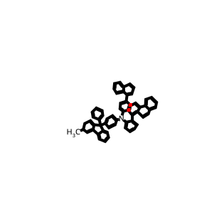 CC1C=C2C(=CC1)C(c1ccccc1)(c1ccc(N(c3ccc(-c4cccc5ccccc45)cc3)c3ccccc3-c3cccc4c3ccc3ccccc34)cc1)c1ccccc12